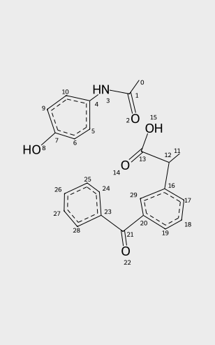 CC(=O)Nc1ccc(O)cc1.CC(C(=O)O)c1cccc(C(=O)c2ccccc2)c1